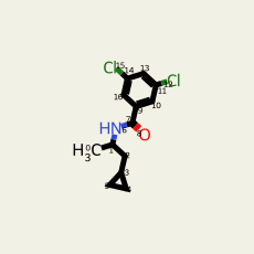 CC(CC1CC1)NC(=O)c1cc(Cl)cc(Cl)c1